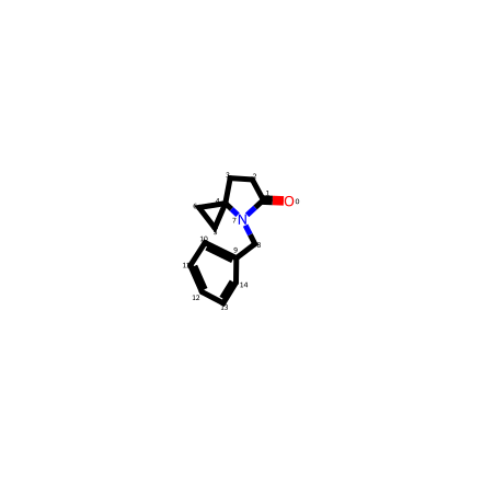 O=C1CCC2(CC2)N1Cc1ccccc1